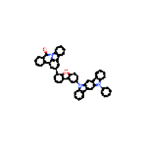 O=c1c2ccccc2c2cc(-c3cccc4c3oc3ccc(-n5c6ccccc6c6cc7c(cc65)c5ccccc5n7-c5ccccc5)cc34)cc3c4ccccc4n1c23